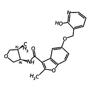 Cc1oc2ccc(OCc3cccnc3O)cc2c1C(=O)N[C@H]1COC[C@H]1C